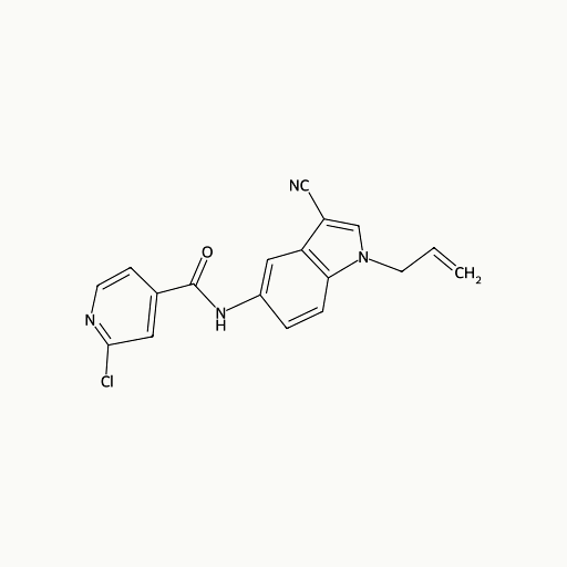 C=CCn1cc(C#N)c2cc(NC(=O)c3ccnc(Cl)c3)ccc21